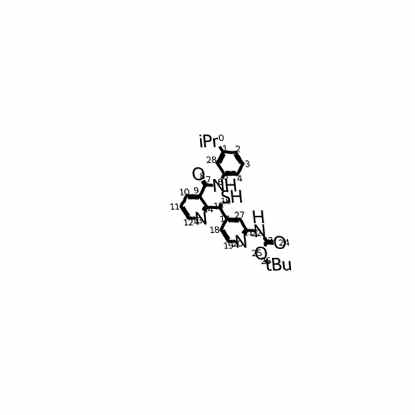 CC(C)c1cccc(NC(=O)c2cccnc2C(S)c2ccnc(NC(=O)OC(C)(C)C)c2)c1